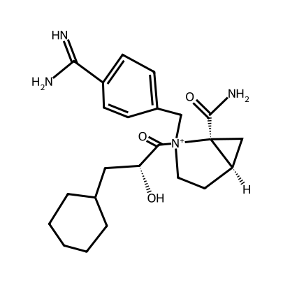 N=C(N)c1ccc(C[N+]2(C(=O)[C@H](O)CC3CCCCC3)CC[C@@H]3C[C@@]32C(N)=O)cc1